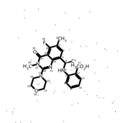 Cc1cc([C@@H](C)Nc2ccccc2C(=O)O)c2nc(N3CCOCC3)n(C)c(=O)c2c1F